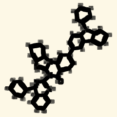 O=c1c2ccc(-c3ccc4c(c3)c3ccccc3n4-c3ccccc3)cc2n2c3ccccc3nc2n1-c1nc(-c2ccccc2)c2ccccc2n1